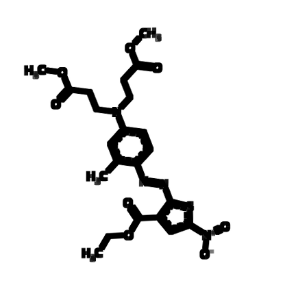 CCOC(=O)c1cc([N+](=O)[O-])sc1N=Nc1ccc(N(CCC(=O)OC)CCC(=O)OC)cc1C